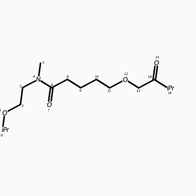 CC(C)OCCN(C)C(=O)CCCCOCC(=O)C(C)C